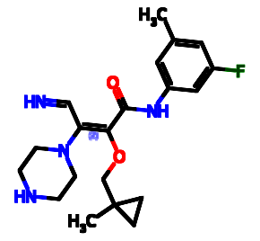 Cc1cc(F)cc(NC(=O)/C(OCC2(C)CC2)=C(\C=N)N2CCNCC2)c1